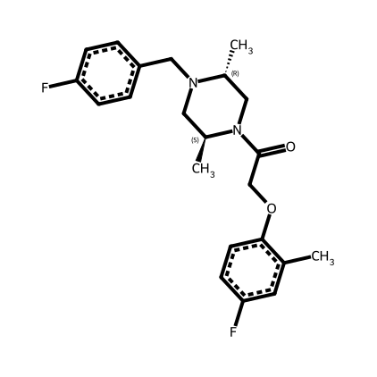 Cc1cc(F)ccc1OCC(=O)N1C[C@@H](C)N(Cc2ccc(F)cc2)C[C@@H]1C